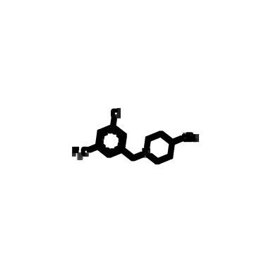 CC(C)(C)C1CCN(Cc2cc(Cl)cc(C(F)(F)F)c2)CC1